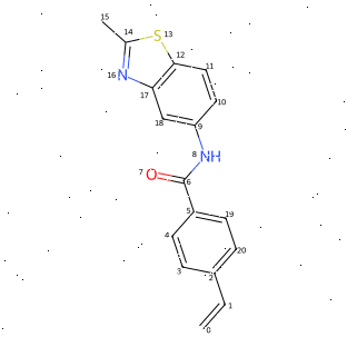 C=Cc1ccc(C(=O)Nc2ccc3sc(C)nc3c2)cc1